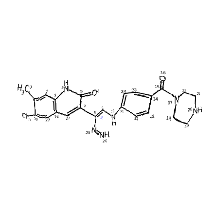 Cc1cc2[nH]c(=O)c(/C(=C/Nc3ccc(C(=O)N4CCNCC4)cc3)N=N)cc2cc1Cl